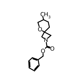 CC1CCC2(CN(C(=O)OCc3ccccc3)C2)OC1